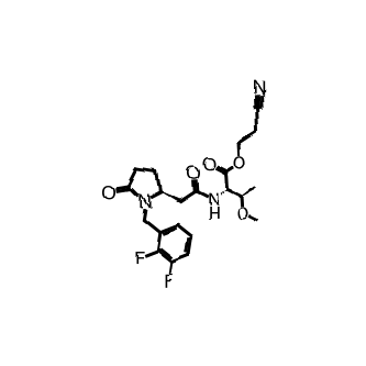 CO[C@H](C)[C@H](NC(=O)C[C@@H]1CCC(=O)N1Cc1cccc(F)c1F)C(=O)OCCC#N